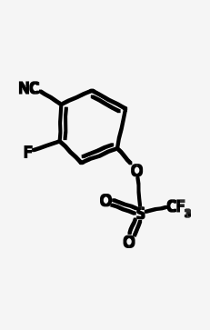 N#Cc1ccc(OS(=O)(=O)C(F)(F)F)cc1F